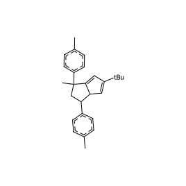 Cc1ccc(C2CC(C)(c3ccc(C)cc3)C3=CC(C(C)(C)C)=CC32)cc1